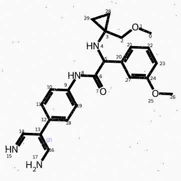 COCC1(NC(C(=O)Nc2ccc(/C(C=N)=C/N)cc2)c2cccc(OC)c2)CC1